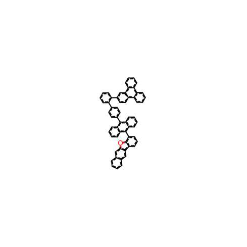 c1ccc(-c2ccc3c4ccccc4c4ccccc4c3c2)c(-c2ccc(-c3c4ccccc4c(-c4cccc5c4oc4cc6ccccc6cc45)c4ccccc34)cc2)c1